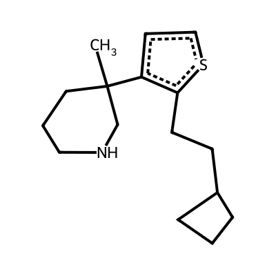 CC1(c2ccsc2CCC2CCC2)CCCNC1